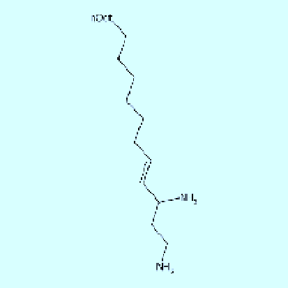 CCCCCCCCCCCCCC/C=C/C(N)CCN